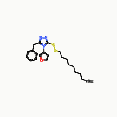 CCCCCCCCCCCCCCCCCCSSc1nnc(Cc2ccccc2)n1-c1ccoc1